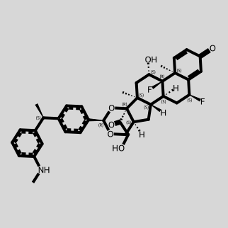 CNc1cccc([C@@H](C)c2ccc([C@@H]3OC[C@@H]4C[C@H]5[C@@H]6C[C@H](F)C7=CC(=O)C=C[C@]7(C)[C@@]6(F)[C@@H](O)C[C@]5(C)[C@]4(C(=O)CO)O3)cc2)c1